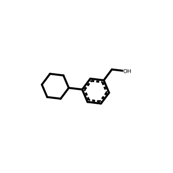 OCc1cccc(C2CCCCC2)c1